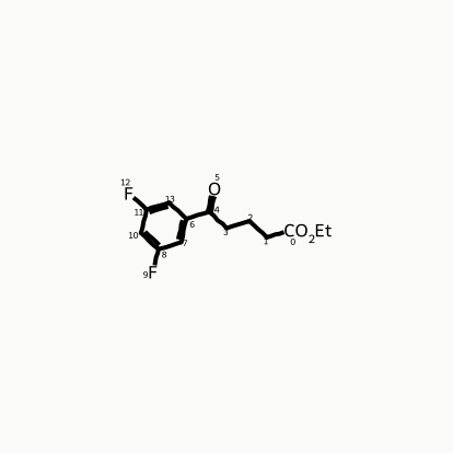 CCOC(=O)CCCC(=O)c1cc(F)cc(F)c1